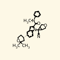 CN(C(=O)c1cc2cc([C@H]3CCOC(C)(C)C3)ccc2n1C1(C#N)C2COCC21)c1ccccc1